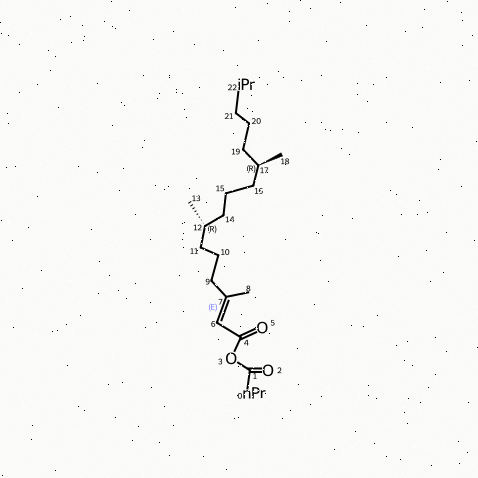 CCCC(=O)OC(=O)/C=C(\C)CCC[C@H](C)CCC[C@H](C)CCCC(C)C